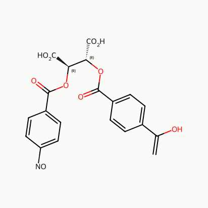 C=C(O)c1ccc(C(=O)O[C@@H](C(=O)O)[C@@H](OC(=O)c2ccc(N=O)cc2)C(=O)O)cc1